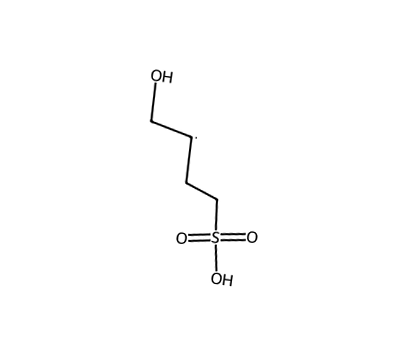 O=S(=O)(O)CC[CH]CO